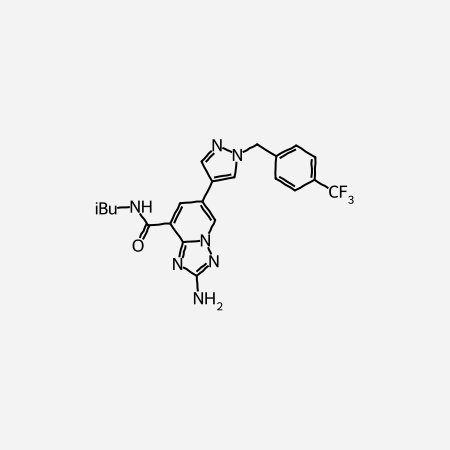 CCC(C)NC(=O)c1cc(-c2cnn(Cc3ccc(C(F)(F)F)cc3)c2)cn2nc(N)nc12